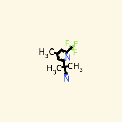 Cc1cc(C(F)(F)F)nc(C(C)(C)C#N)c1